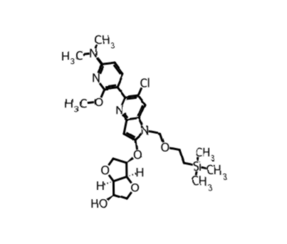 COc1nc(N(C)C)ccc1-c1nc2cc(O[C@@H]3CO[C@H]4[C@@H]3OC[C@H]4O)n(COCC[Si](C)(C)C)c2cc1Cl